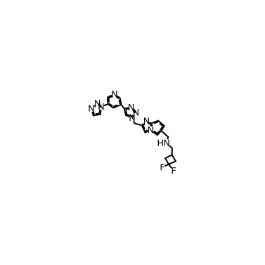 FC1(F)CC(CNCc2ccc3nc(Cn4cc(-c5cncc(-n6ccnn6)c5)nn4)cn3c2)C1